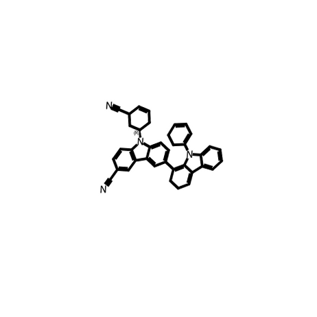 N#Cc1ccc2c(c1)c1cc(C3=c4c(c5ccccc5n4C4=CC=CCC4)=CCC3)ccc1n2[C@@H]1CC=CC(C#N)C1